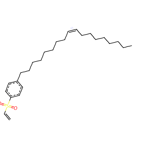 C=CS(=O)(=O)c1ccc(CCCCCCCC/C=C\CCCCCCCC)cc1